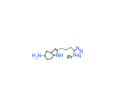 CC(C)n1nnnc1CCCc1cc2cc(N)ccc2[nH]1